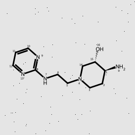 N[C@H]1CCN(CCNc2ncccn2)C[C@@H]1O